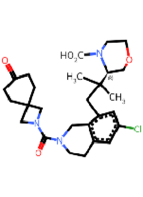 CC(C)(Cc1cc(Cl)cc2c1CN(C(=O)N1CC3(CCC(=O)CC3)C1)CC2)[C@@H]1COCCN1C(=O)O